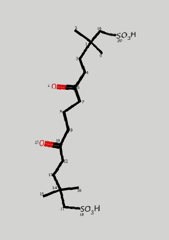 CC(C)(CCC(=O)CCCC(=O)CCC(C)(C)CS(=O)(=O)O)CS(=O)(=O)O